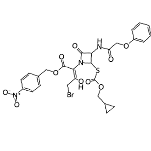 O=C(COc1ccccc1)NC1C(=O)N(/C(C(=O)OCc2ccc([N+](=O)[O-])cc2)=C(\O)CBr)C1SC(=O)OCC1CC1